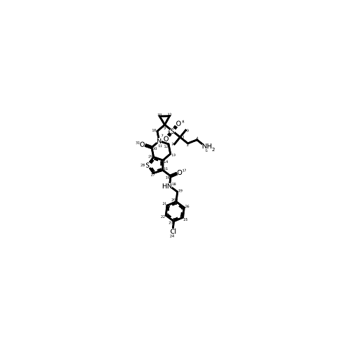 CC(C)(CCN)S(=O)(=O)C1(CN2CCc3c(C(=O)NCc4ccc(Cl)cc4)csc3C2=O)CC1